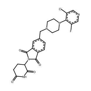 O=C1CCC(N2C(=O)c3ccc(CN4CCN(c5c(F)cncc5Cl)CC4)cc3C2=O)C(=O)N1